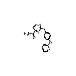 NC(=O)c1ccnc(Cc2ccc(Oc3ccccn3)cc2)n1